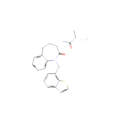 CN[C@@H](C)C(=O)N[C@H]1CCc2ccccc2N(Cc2cccc3ccsc23)C1=O.Cl